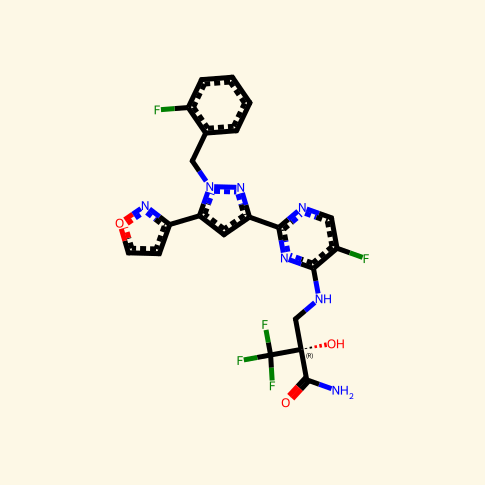 NC(=O)[C@](O)(CNc1nc(-c2cc(-c3ccon3)n(Cc3ccccc3F)n2)ncc1F)C(F)(F)F